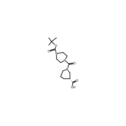 CC(C)(C)OC(=O)N1CCN(C(=O)N2CCC[C@@H](C(=O)O)C2)CC1